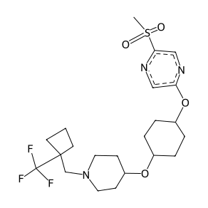 CS(=O)(=O)c1cnc(OC2CCC(OC3CCN(CC4(C(F)(F)F)CCC4)CC3)CC2)cn1